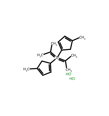 CC1=CC=[C]([Zr]([C]2=CC=C(C)C2)(=[C](C)C)=[C](C)C)C1.Cl.Cl